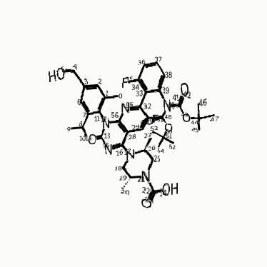 Cc1cc(CO)cc(C(C)C)c1-n1c(=O)nc(N2C[C@@H](C)N(C(=O)O)C[C@@H]2C)c2cc(F)c(-c3c(F)cccc3N(C(=O)OC(C)(C)C)C(=O)OC(C)(C)C)nc21